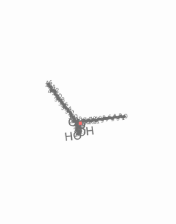 CCCCCCCCCCCCCCCCCC(=O)C(C)(CN(C)CC(O)O)C(=O)CCCCCCCCCCCCCCCCC